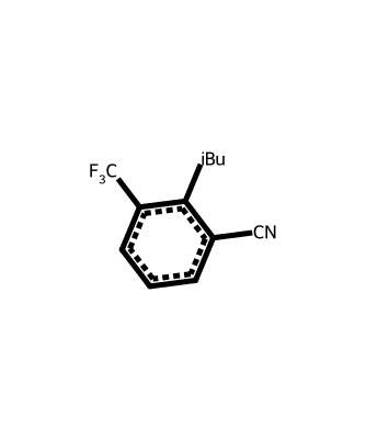 CCC(C)c1c(C#N)cccc1C(F)(F)F